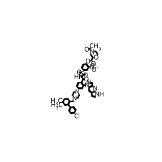 CC(=O)N1CCOC(COc2ccc(S(=O)(=O)NC(=O)c3ccc(N4CCN(CC5=C(c6ccc(Cl)cc6)CC(C)(C)CC5)CC4)cc3-n3ncc4nc5[nH]ccc5cc43)cc2[N+](=O)[O-])C1